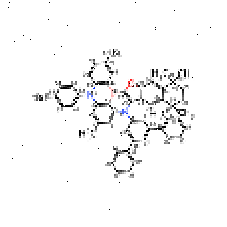 Cc1cc2c3c(c1)N(c1cc(-c4ccccc4)cc(-c4ccccc4)c1)c1c(oc4cc5c(cc14)C(C)(C)CCC5(C)C)B3c1cc(C(C)(C)C)ccc1N2c1ccc(C(C)(C)C)cc1